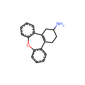 NC1CCC2=C(C1)c1ccccc1Oc1ccccc12